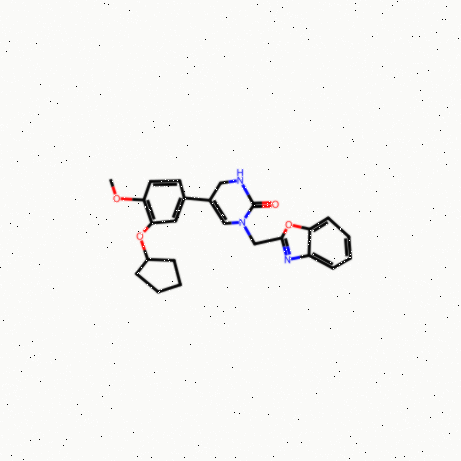 COc1ccc(C2=CN(Cc3nc4ccccc4o3)C(=O)NC2)cc1OC1CCCC1